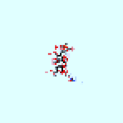 NOCCO[C@H]1OC(CO)CC(O)C1O[C@H]1OC2(O)C1C(O)[C@H](O)C2CCP(=O)(O)O